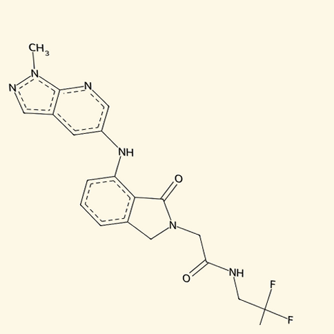 Cn1ncc2cc(Nc3cccc4c3C(=O)N(CC(=O)NCC(F)(F)F)C4)cnc21